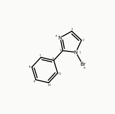 Brn1ccnc1-c1ccccc1